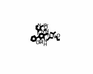 C=CC(=O)N1CC2CNc3c(Cl)c(-c4ccccc4O)c(F)c4c3c(nc(=O)n4-c3c(C)ccnc3C(C)C)N2CC1C